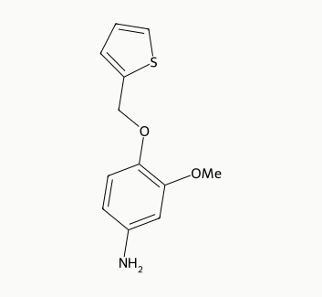 COc1cc(N)ccc1OCc1cccs1